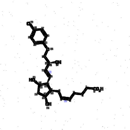 O=C(O)CCC/C=C\C[C@@H]1[C@@H](/C=C/[C@@H](O)COc2ccc(Cl)cc2)[C@H](O)C[C@@H]1O